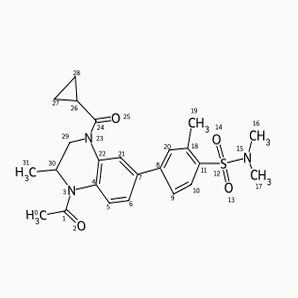 CC(=O)N1c2ccc(-c3ccc(S(=O)(=O)N(C)C)c(C)c3)cc2N(C(=O)C2CC2)CC1C